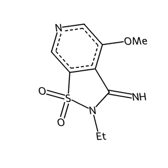 CCN1C(=N)c2c(OC)cncc2S1(=O)=O